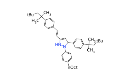 CCCCCCCCc1ccc(N2NC(C=Cc3ccc(C(C)(C)CC(C)(C)C)cc3)=CC2c2ccc(C(C)(C)CC(C)(C)C)cc2)cc1